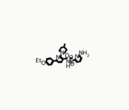 CCOc1ccc(-c2ccc(C(=O)NS(=O)(=O)c3cccc(N)n3)c(N3CCC(C)CC3)n2)cc1